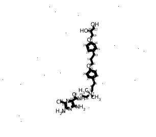 C[N+](C)(CCCc1ccc(OCCCc2ccc(OC[C@@H](O)CO)cc2)cc1)CCNC(=O)c1nc(Cl)c(N)nc1N